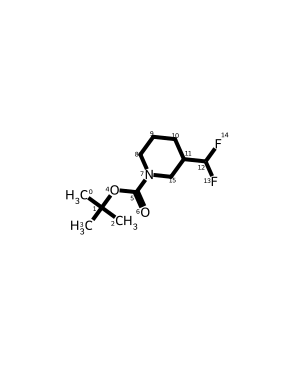 CC(C)(C)OC(=O)N1CCCC(C(F)F)C1